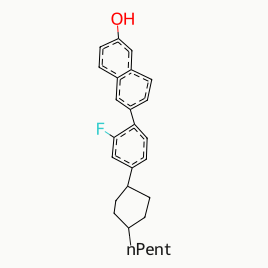 CCCCCC1CCC(c2ccc(-c3ccc4cc(O)ccc4c3)c(F)c2)CC1